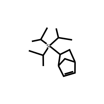 CC(C)[Si](C(C)C)(C(C)C)C1CC2C=CC1C2